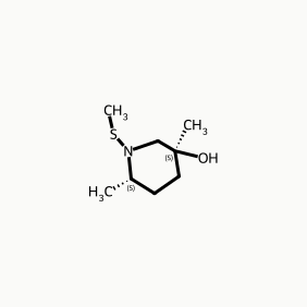 CSN1C[C@@](C)(O)CC[C@@H]1C